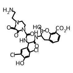 NCCN1CCN(C(=O)NC(C(=O)NC2Cc3cccc(C(=O)O)c3OB2O)c2cc(Cl)c(O)cc2Cl)C(=O)C1=O